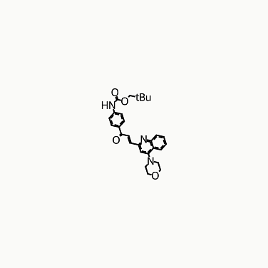 CC(C)(C)COC(=O)Nc1ccc(C(=O)C=Cc2cc(N3CCOCC3)c3ccccc3n2)cc1